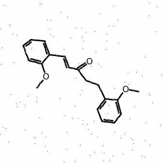 COc1ccccc1/C=C/C(=O)CCc1ccccc1OC